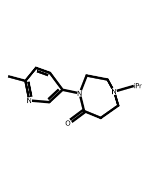 Cc1ccc(N2CCN(C(C)C)CCC2=O)cn1